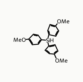 COc1ccc([SiH](c2ccc(OC)cc2)c2ccc(OC)cc2)cc1